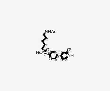 CC(=O)NCCCCCP(=O)(O)C[C@H]1CN[C@H](c2cc[nH]c(=O)c2)CO1